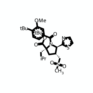 COc1cc(C(=O)N2[C@@H](c3nccs3)[C@H](CS(C)(=O)=O)C[C@@]2(CC(C)C)C(=O)OC(C)(C)C)ccc1C(C)(C)C